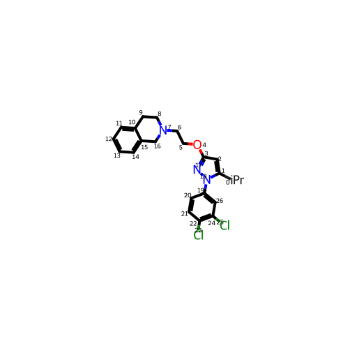 CC(C)c1cc(OCCN2CCc3ccccc3C2)nn1-c1ccc(Cl)c(Cl)c1